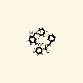 O=C(OCc1ccccc1)[n+]1ccccc1.O=C([O-])c1cccc(C[n+]2ccccc2)c1.[Cl-]